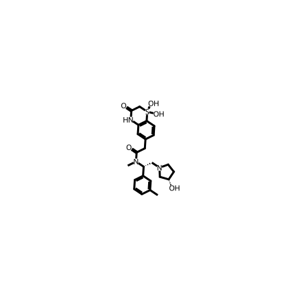 Cc1cccc([C@@H](CN2CC[C@H](O)C2)N(C)C(=O)Cc2ccc3c(c2)NC(=O)CS3(O)O)c1